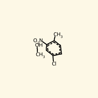 CO.Cc1ccc(Cl)cc1[N+](=O)[O-]